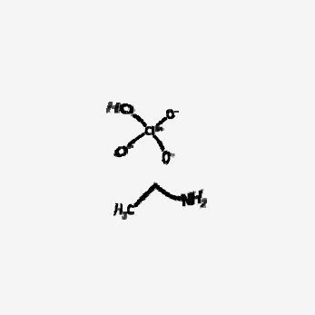 CCN.[O-][Cl+3]([O-])([O-])O